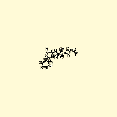 CC1([C@@H]2C[C@H](F)c3nc(S(=O)(=O)[C@H]4C[C@@H](CF)C4)nn32)C=CC=CC1